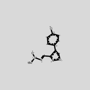 CC(C)(C)[S+]([O-])N=Cc1nocc1-c1ccc(Cl)cc1